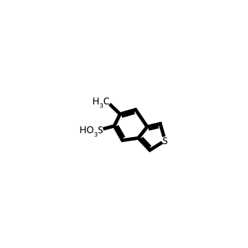 Cc1cc2cscc2cc1S(=O)(=O)O